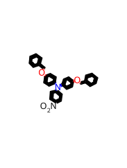 O=[N+]([O-])c1ccc(N(c2ccc(OCc3ccccc3)cc2)c2ccc(OCc3ccccc3)cc2)cc1